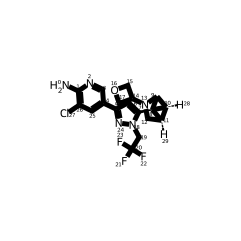 Nc1ncc(-c2cc([C@@]34C5[C@H]3[C@H]4CN5C3COC3)n(CC(F)(F)F)n2)cc1Cl